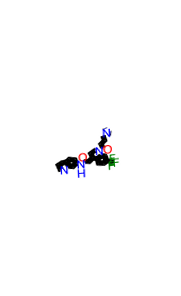 CN(C)CCCC(=O)N1CC/C(=C\C(=O)Nc2ccc3cccnc3c2)c2ccc(C(F)(F)F)cc21